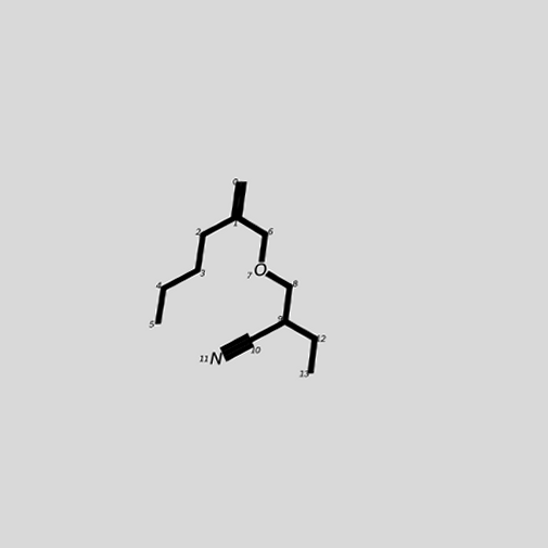 C=C(CCCC)COCC(C#N)CC